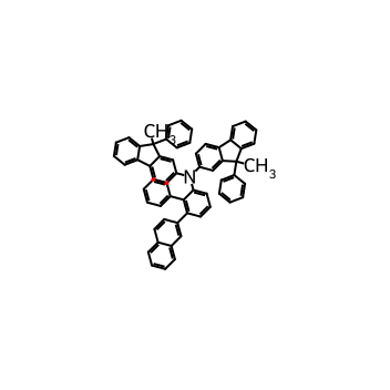 CC1(c2ccccc2)c2ccccc2-c2ccc(N(c3ccc4c(c3)C(C)(c3ccccc3)c3ccccc3-4)c3cccc(-c4ccc5ccccc5c4)c3-c3ccccc3)cc21